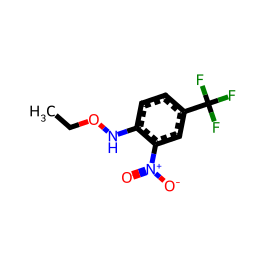 CCONc1ccc(C(F)(F)F)cc1[N+](=O)[O-]